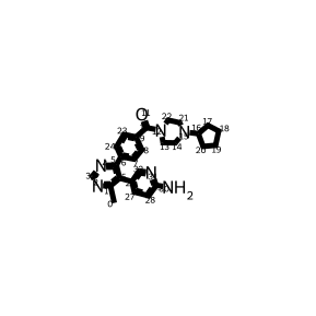 Cc1ncnc(-c2ccc(C(=O)N3CCN(C4CCCC4)CC3)cc2)c1-c1ccc(N)nc1